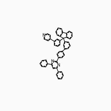 c1ccc(-c2cc(-c3ccccc3)nc(-c3ccc(-c4cccc(C5(c6cccc(-c7ccncc7)c6)c6ccccc6-c6ccccc65)c4)cc3)n2)cc1